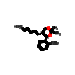 COc1ccccc1[C@H]1OC(C)(C)OC[C@H]1CCCC=CC(=O)O